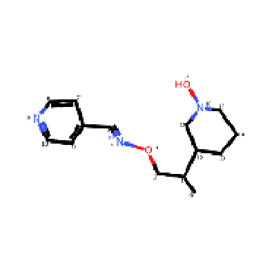 CC(CO/N=[C]/c1ccncc1)C1CCCN(O)C1